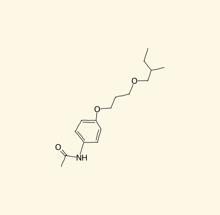 CCC(C)COCCCOc1ccc(NC(C)=O)cc1